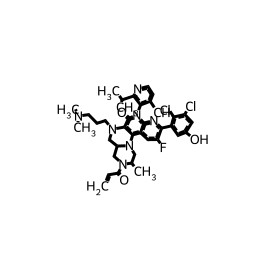 C=CC(=O)N1CC2CN(CCCN(C)C)c3c(c4cc(F)c(-c5cc(O)cc(Cl)c5Cl)nc4n(-c4c(C)ccnc4C(C)C)c3=O)N2CC1C